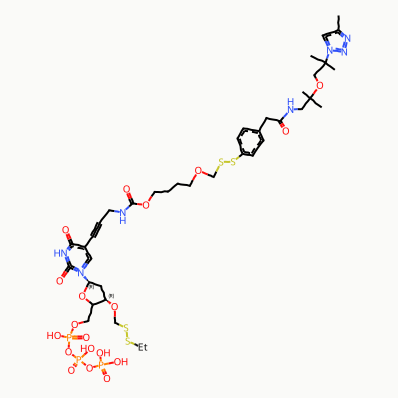 CCSSCO[C@@H]1C[C@H](n2cc(C#CCNC(=O)OCCCCOCSSc3ccc(CC(=O)NCC(C)(C)OCC(C)(C)n4cc(C)nn4)cc3)c(=O)[nH]c2=O)OC1COP(=O)(O)OP(=O)(O)OP(=O)(O)O